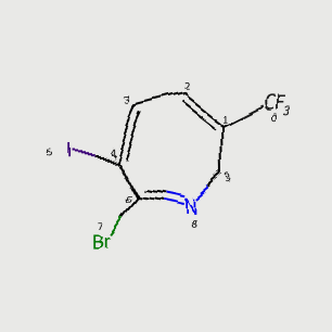 FC(F)(F)C1=CC=C(I)C(Br)=NC1